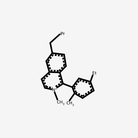 CCc1ccc(C)c(-c2c3ccc(CC(C)C)cc3cc[n+]2C)c1